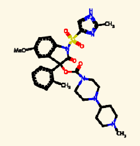 COc1ccc2c(c1)C(OC(=O)N1CCN(C3CCN(C)CC3)CC1)(c1ccccc1C)C(=O)N2S(=O)(=O)c1c[nH]c(C)n1